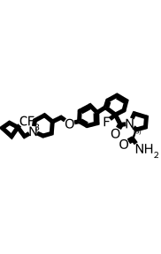 NC(=O)[C@@H]1CCCN1C(=O)C1(F)CC=CC=C1c1ccc(OCC2CCN(CC3(C(F)(F)F)CCC3)CC2)cc1